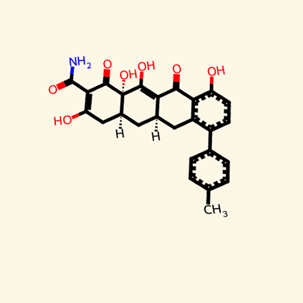 Cc1ccc(-c2ccc(O)c3c2C[C@H]2C[C@H]4CC(O)=C(C(N)=O)C(=O)[C@@]4(O)C(O)=C2C3=O)cc1